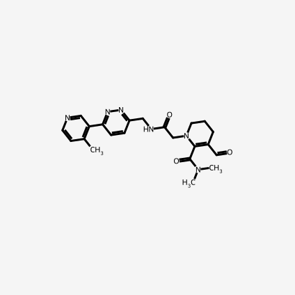 Cc1ccncc1-c1ccc(CNC(=O)CN2CCCC(C=O)=C2C(=O)N(C)C)nn1